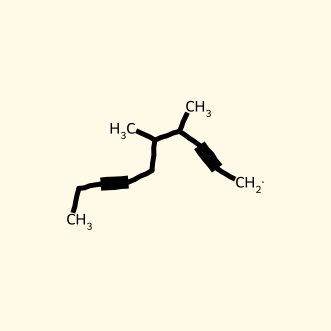 [CH2]C#CC(C)C(C)CC#CCC